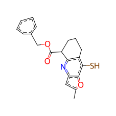 Cc1cc2nc3c(c(S)c2o1)CCCC3C(=O)OCc1ccccc1